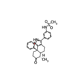 C[C@@H]1C(=O)CC[C@]2(c3ccccc3)c3n[nH]c(-c4cccc(NS(C)(=O)=O)c4)c3CC[C@@H]12